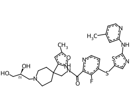 Cc1ccnc(Nc2ncc(Sc3ccnc(C(=O)NCC4(c5cc(C)on5)CCN(C[C@H](O)CO)CC4)c3F)s2)c1